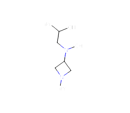 CC(C)C(C)CN(C)C1CN(C(C)C)C1